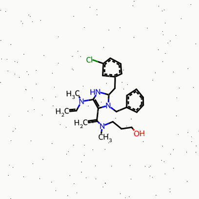 C=CN(C)C1=C(C(=C)N(C)CCCO)N(Cc2ccccc2)C(Cc2cccc(Cl)c2)N1